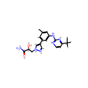 Cc1cc(Nc2nccc(C(C)(C)C)n2)cc(-c2cnn(C[C@H](O)C(N)=O)c2)c1